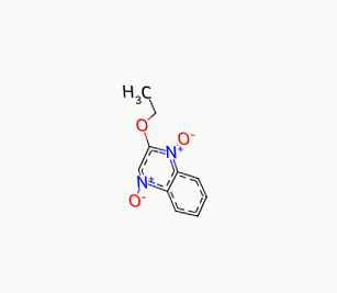 CCOc1c[n+]([O-])c2ccccc2[n+]1[O-]